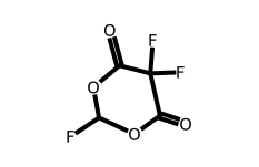 O=C1OC(F)OC(=O)C1(F)F